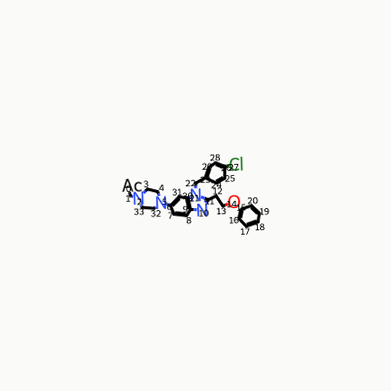 CC(=O)CN1CCN(c2ccc3nc(CCOc4ccccc4)n(Cc4ccc(Cl)cc4)c3c2)CC1